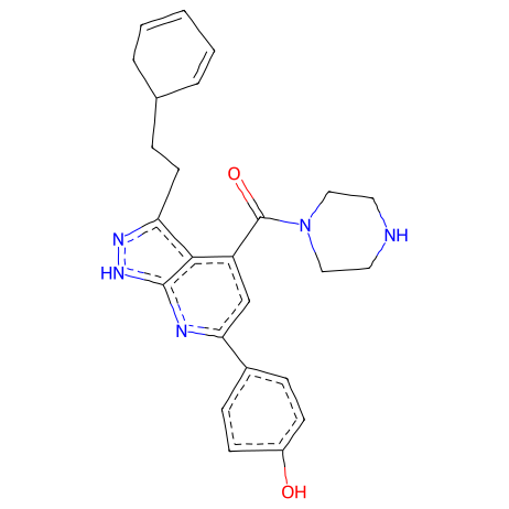 O=C(c1cc(-c2ccc(O)cc2)nc2[nH]nc(CCC3C=CC=CC3)c12)N1CCNCC1